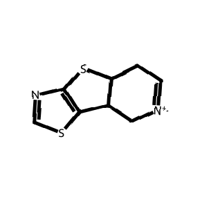 C1=[N+]CC2c3scnc3SC2C1